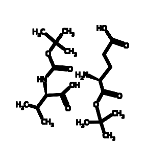 CC(C)(C)OC(=O)[C@@H](N)CCC(=O)O.CC(C)[C@@H](NC(=O)OC(C)(C)C)C(=O)O